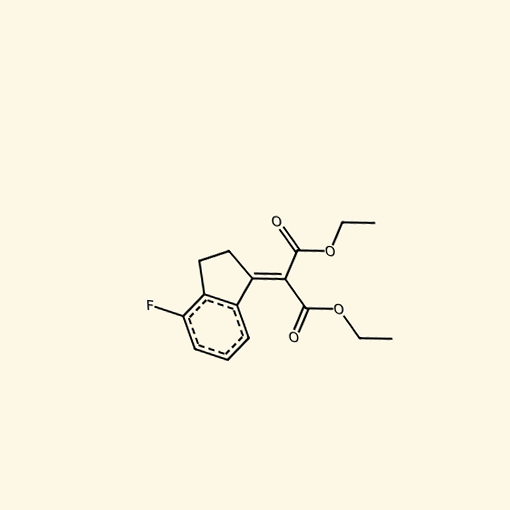 CCOC(=O)C(C(=O)OCC)=C1CCc2c(F)cccc21